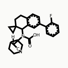 O=C(O)N(C1c2cc(-c3ccccc3F)ccc2CCC12CC2)[C@@H]1CN2CCC1CC2